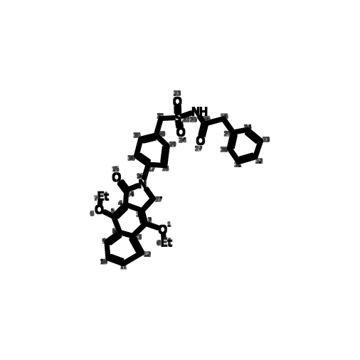 CCOc1c2c(c(OCC)c3ccccc13)C(=O)N(c1ccc(CS(=O)(=O)NC(=O)Cc3ccccc3)cc1)C2